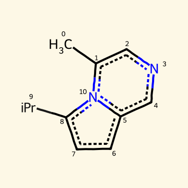 Cc1cncc2ccc(C(C)C)n12